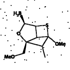 B[C@@H]1O[C@@]2(COC)C(C)C3(OC)SC1C32